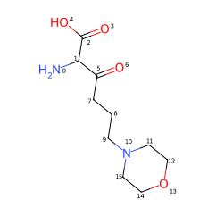 NC(C(=O)O)C(=O)CCCN1CCOCC1